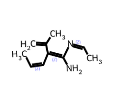 C=C(C)C(/C=C\C)=C(N)\N=C/C